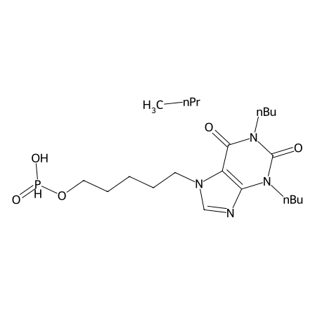 CCCC.CCCCn1c(=O)c2c(ncn2CCCCCO[PH](=O)O)n(CCCC)c1=O